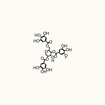 COc1cc(C(=O)OC2C(COC(=O)c3cc(O)c(O)c(O)c3)OCC(OC(=O)c3cc(O)c(O)c(O)c3)C2O)cc(O)c1O